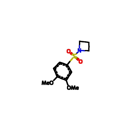 COc1ccc(S(=O)(=O)N2CCC2)cc1OC